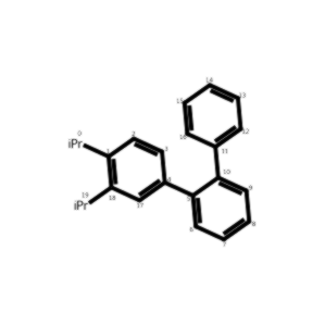 CC(C)c1ccc(-c2ccccc2-c2ccccc2)cc1C(C)C